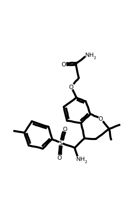 Cc1ccc(S(=O)(=O)C(N)C2CC(C)(C)Oc3cc(OCC(N)=O)ccc32)cc1